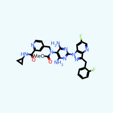 COC(=O)N(Cc1ccnc(C(=O)NC2CC2)c1)c1c(N)nc(-n2nc(Cc3ccccc3F)c3ncc(F)cc32)nc1N